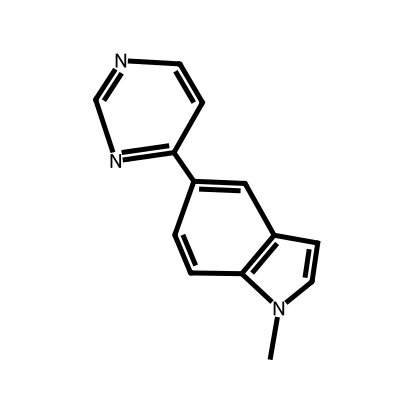 Cn1ccc2cc(-c3ccncn3)ccc21